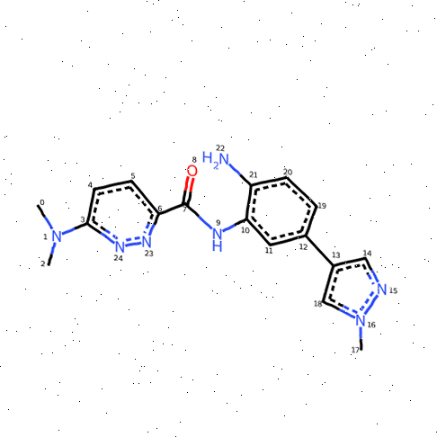 CN(C)c1ccc(C(=O)Nc2cc(-c3cnn(C)c3)ccc2N)nn1